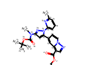 CCOC(=O)c1cnn2ccc(-c3cc(N(C)C(=O)OC(C)(C)C)nn3-c3cccc(C)n3)cc12